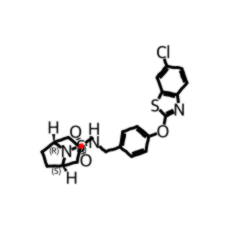 CS(=O)(=O)N1[C@@H]2CC[C@H]1C[C@@H](NCc1ccc(Oc3nc4ccc(Cl)cc4s3)cc1)C2